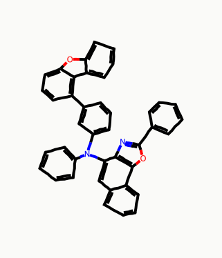 c1ccc(-c2nc3c(N(c4ccccc4)c4cccc(-c5cccc6oc7ccccc7c56)c4)cc4ccccc4c3o2)cc1